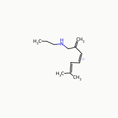 C=C(/C=C\C=C(C)C)CNCCC